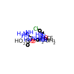 BC(B)(Oc1nc(Nc2ccc(C(=O)N[C@H](CCCNC(=N)N)C(=O)N[C@@H](Cc3ccccc3)C(=O)O)cc2)nc(NC2(c3ccc(Cl)cc3)CC2)n1)C(F)(F)F